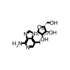 Nc1ncc(I)c2c1ncn2[C@@H]1O[C@H](CO)[C@@H](O)[C@H]1O